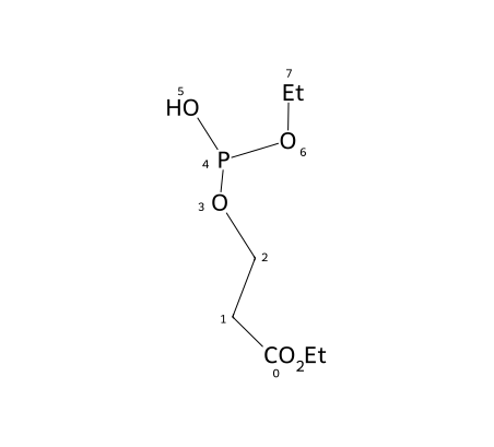 CCOC(=O)CCOP(O)OCC